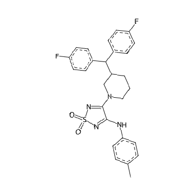 Cc1ccc(NC2=NS(=O)(=O)N=C2N2CCCC(C(c3ccc(F)cc3)c3ccc(F)cc3)C2)cc1